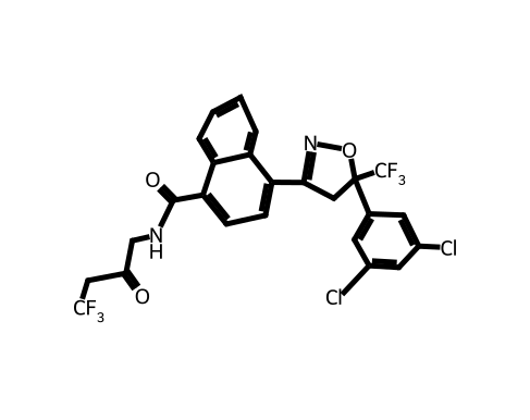 O=C(CNC(=O)c1ccc(C2=NOC(c3cc(Cl)cc(Cl)c3)(C(F)(F)F)C2)c2ccccc12)CC(F)(F)F